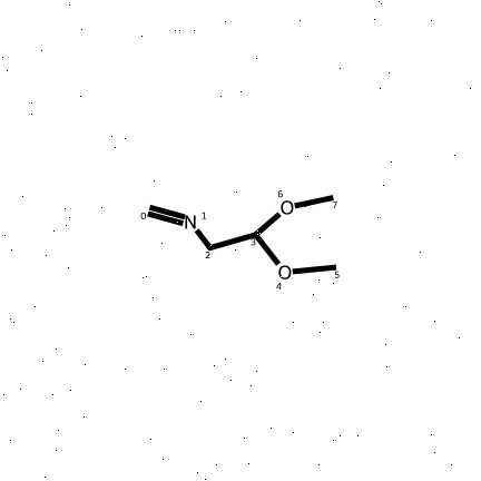 C=NCC(OC)OC